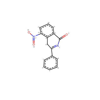 O=C1N=C(c2ccccc2)Cc2c1cccc2[N+](=O)[O-]